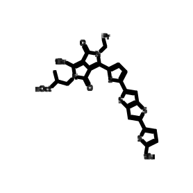 CCCCCCCCC(C)CN1C(=O)C2=C(c3ccc(-c4cc5sc(-c6ccc(C(C)(C)C)s6)cc5s4)s3)N(CC(C)C)C(=O)C2=C1C(C)(C)C